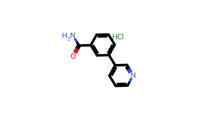 Cl.NC(=O)c1cccc(-c2cccnc2)c1